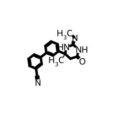 C/N=C1/NC(=O)C[C@@](C)(c2cccc(-c3cccc(C#N)c3)c2)N1